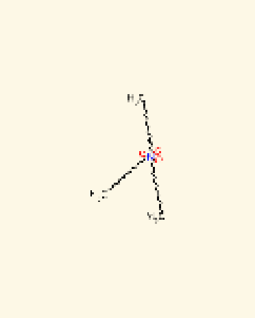 CCCCCCCCCCCCCC(=O)N(C(=O)CCCCCCCCCCCCC)C(=O)CCCCCCCCCCCCC